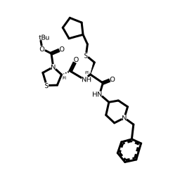 CC(C)(C)OC(=O)N1CSC[C@H]1C(=O)N[C@@H](CSCC1CCCC1)C(=O)NC1CCN(Cc2ccccc2)CC1